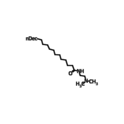 CCCCCCCCCCCCCCCCCCCCCC(=O)NCCN(C)C